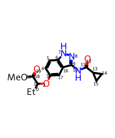 CCC(Oc1ccc2[nH]nc(NC(=O)C3CC3)c2c1)C(=O)OC